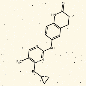 O=C1CCc2cc(Nc3ncc(C(F)(F)F)c(NC4CC4)n3)ccc2N1